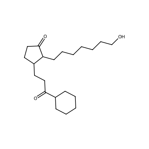 O=C(CCC1CCC(=O)C1CCCCCCCO)C1CCCCC1